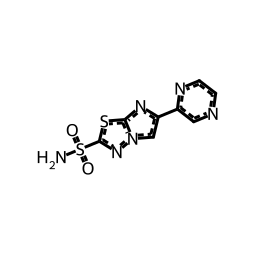 NS(=O)(=O)c1nn2cc(-c3cnccn3)nc2s1